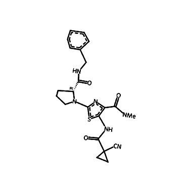 CNC(=O)c1nc(N2CCC[C@@H]2C(=O)NCc2ccccc2)sc1NC(=O)C1(C#N)CC1